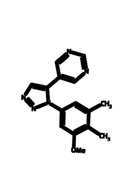 COc1cc(-n2nncc2-c2cncnc2)cc(C)c1C